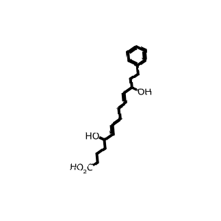 O=C(O)CCCC(O)C=CCCC=CC(O)CCc1ccccc1